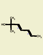 C/C=C/C=C/C(C)(C)O